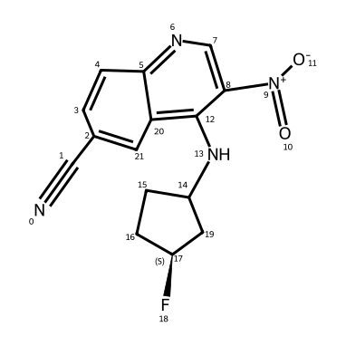 N#Cc1ccc2ncc([N+](=O)[O-])c(NC3CC[C@H](F)C3)c2c1